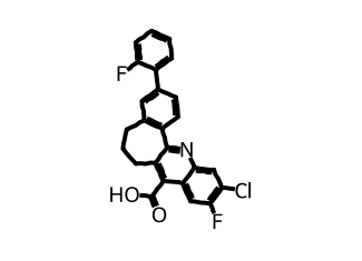 O=C(O)c1c2c(nc3cc(Cl)c(F)cc13)-c1ccc(-c3ccccc3F)cc1CCC2